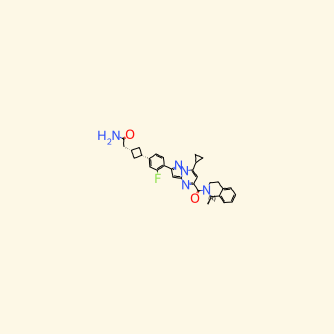 C[C@@H]1c2ccccc2CCN1C(=O)c1cc(C2CC2)n2nc(-c3ccc([C@H]4C[C@@H](CC(N)=O)C4)cc3F)cc2n1